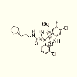 CC(C)(C)C[C@H]1N[C@@H](C(=O)NCCCN2CCCC2)[C@H](c2cccc(Cl)c2F)[C@@]12C(=O)Nc1cc(Cl)c(F)cc12